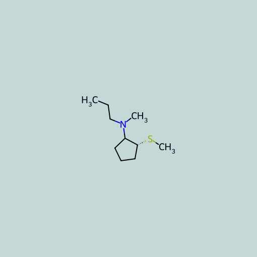 CCCN(C)C1CCC[C@H]1SC